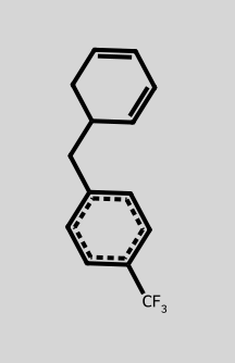 FC(F)(F)c1ccc(CC2C=CC=CC2)cc1